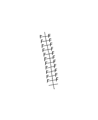 CC(C)(C)C(F)(F)C(F)(F)C(F)(F)C(F)(F)C(F)(F)C(F)(F)C(F)(F)C(F)(F)C(F)(F)C(F)(F)C(C)(F)F